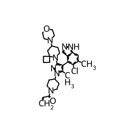 C=CC(=O)N1CCC(n2nc(N3CCC(N4CCOCC4)CC34CCC4)c(-c3c(Cl)c(C)cc4[nH]ncc34)c2C)CC1